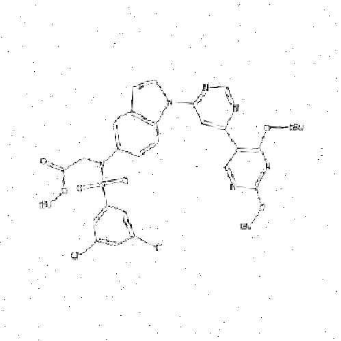 CC(C)(C)OC(=O)CN(c1ccc2c(ccn2-c2cc(-c3cnc(OC(C)(C)C)nc3OC(C)(C)C)ncn2)c1)S(=O)(=O)c1cc(Cl)cc(Cl)c1